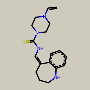 C=CN1CCN(C(=S)N/C=C2/CCCNc3ccccc32)CC1